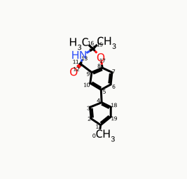 Cc1ccc(-c2ccc3c(c2)C(=O)NC(C)(C)O3)cc1